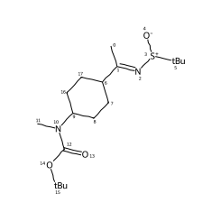 C/C(=N\[S+]([O-])C(C)(C)C)C1CCC(N(C)C(=O)OC(C)(C)C)CC1